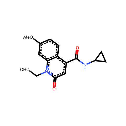 COc1ccc2c(C(=O)NC3CC3)cc(=O)n(CC=O)c2c1